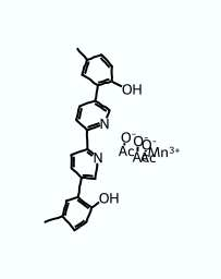 CC(=O)[O-].CC(=O)[O-].CC(=O)[O-].Cc1ccc(O)c(-c2ccc(-c3ccc(-c4cc(C)ccc4O)cn3)nc2)c1.[Mn+3]